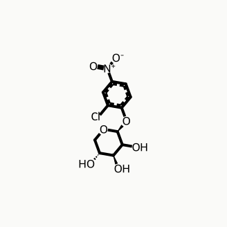 O=[N+]([O-])c1ccc(O[C@@H]2OC[C@@H](O)[C@H](O)C2O)c(Cl)c1